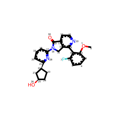 COc1cccc(F)c1-c1nccc2c1CN(c1cccc([C@H]3CC[C@@H](O)C3)n1)C2=O